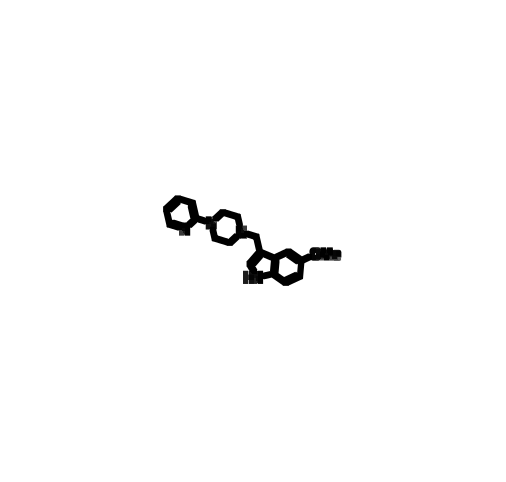 COc1ccc2[nH]cc(CN3CCN(c4ccccn4)CC3)c2c1